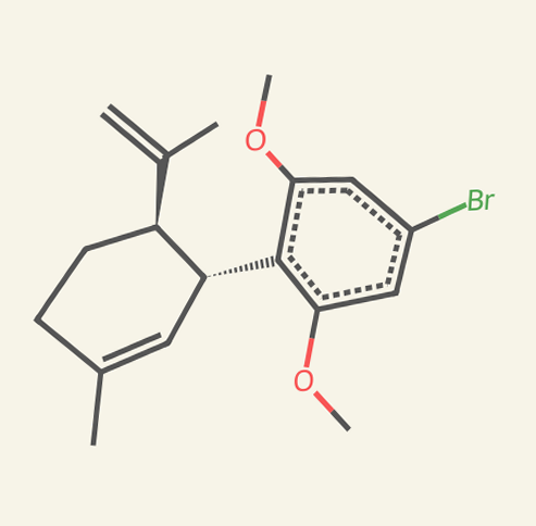 C=C(C)[C@@H]1CCC(C)=C[C@H]1c1c(OC)cc(Br)cc1OC